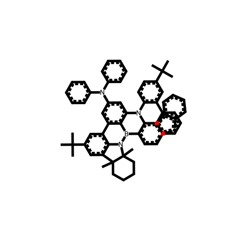 CC(C)(C)c1ccc(N2c3cc(N(c4ccccc4)c4ccccc4)cc4c3B(c3ccc5sc6ccccc6c5c32)N2c3c-4cc(C(C)(C)C)cc3C3(C)CCCCC23C)c(-c2ccccc2)c1